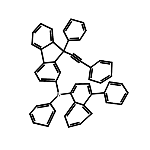 C(#CC1(c2ccccc2)c2ccccc2-c2ccc(N(c3ccccc3)c3ccc(-c4ccccc4)c4ccccc34)cc21)c1ccccc1